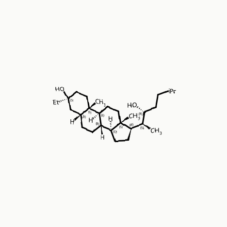 CC[C@]1(O)CC[C@@]2(C)[C@H](CC[C@@H]3[C@@H]2CC[C@]2(C)[C@@H]([C@H](C)[C@H](O)CCC(C)C)CC[C@@H]32)C1